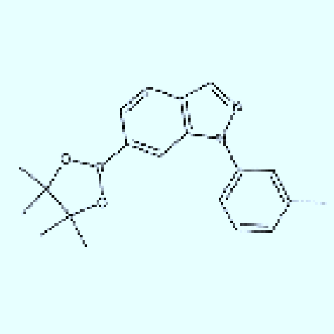 Cc1cccc(-n2ncc3ccc(B4OC(C)(C)C(C)(C)O4)cc32)c1